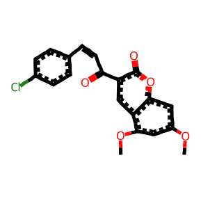 COc1cc(OC)c2cc(C(=O)/C=C\c3ccc(Cl)cc3)c(=O)oc2c1